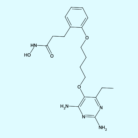 CCc1nc(N)nc(N)c1OCCCCOc1ccccc1CCC(=O)NO